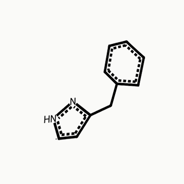 [c]1cc(Cc2ccccc2)n[nH]1